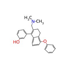 CN(C)CC1=C(c2cccc(O)c2)c2cccc(Oc3ccccc3)c2CC1